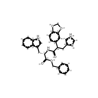 O=C(N[C@@H](Cc1c[nH]c2ccccc12)C(=O)OCc1ccccc1)C(Cc1c[nH]cn1)c1ccc2c(c1)OCO2